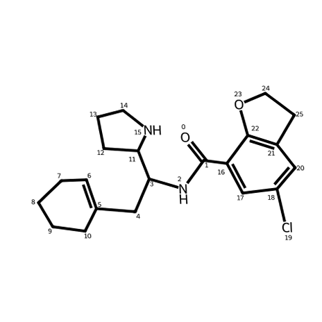 O=C(NC(CC1=CCCCC1)C1CCCN1)c1cc(Cl)cc2c1OCC2